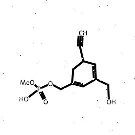 C#CC1C=C(CO)C=C(COP(=O)(O)OC)C1